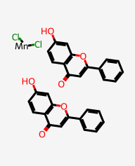 O=c1cc(-c2ccccc2)oc2cc(O)ccc12.O=c1cc(-c2ccccc2)oc2cc(O)ccc12.[Cl][Mn][Cl]